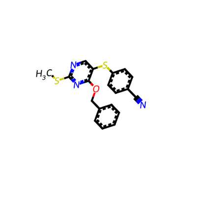 CSc1ncc(Sc2ccc(C#N)cc2)c(OCc2ccccc2)n1